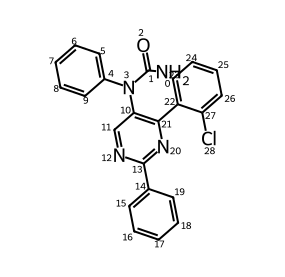 NC(=O)N(c1ccccc1)c1cnc(-c2ccccc2)nc1-c1ccccc1Cl